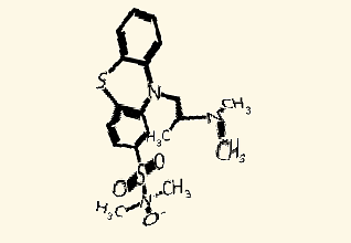 CC(CN1c2ccccc2Sc2ccc(S(=O)(=O)[N+](C)(C)[O-])cc21)N(C)C